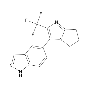 FC(F)(F)c1nc2n(c1-c1ccc3[nH]ncc3c1)CCC2